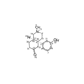 CN1CC[C@@]2(c3cccc(O)c3)CC(=O)CC[C@H]2C1